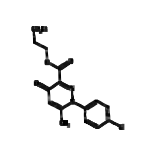 CCOC(=O)CCOC(=O)c1nn(-c2ccc(Cl)cc2)c(C)cc1=O